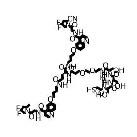 CC1CC(F)(F)CN1C(=O)CNC(=O)c1ccnc2ccc(OCCCCNC(=O)CC[C@H](NC(=O)CCOCCOCCNC(=O)C(CO)NC(=O)C(CO)NC(=O)C(CO)NC(=O)CS)C(=O)NCCCCOc3ccc4nccc(C(=O)NCC(=O)N5CC(F)(F)C[C@H]5C#N)c4c3)cc12